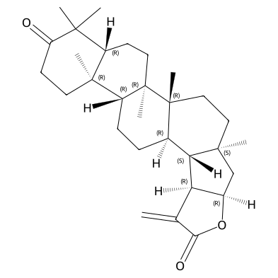 C=C1C(=O)O[C@@H]2C[C@]3(C)CC[C@]4(C)[C@H](CC[C@@H]5[C@@]6(C)CCC(=O)C(C)(C)[C@@H]6CC[C@]54C)[C@H]3[C@H]12